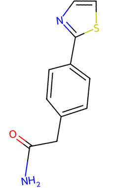 NC(=O)Cc1ccc(-c2nccs2)cc1